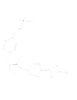 NC1CN(c2ncc(N3CCC(Oc4ccc(OCC(F)(F)F)nc4)C3=O)cn2)C1